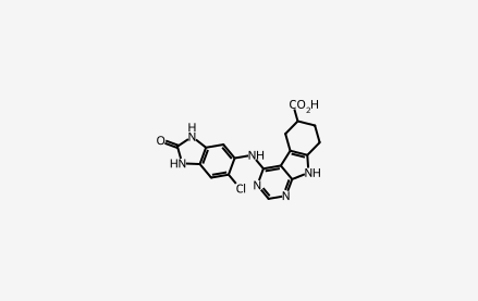 O=C(O)C1CCc2[nH]c3ncnc(Nc4cc5[nH]c(=O)[nH]c5cc4Cl)c3c2C1